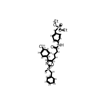 CCOP(=O)(Cc1ccc(NC(=O)CCCc2oc(N(C)Cc3ccccc3)nc2-c2ccc(Cl)cc2)cc1)OCC